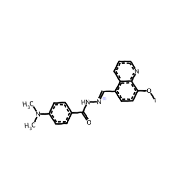 CN(C)c1ccc(C(=O)N/N=C/c2ccc(OI)c3ncccc23)cc1